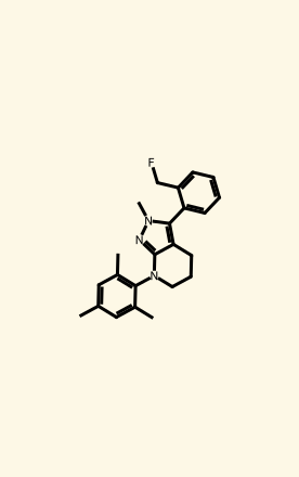 Cc1cc(C)c(N2CCCc3c2nn(C)c3-c2ccccc2CF)c(C)c1